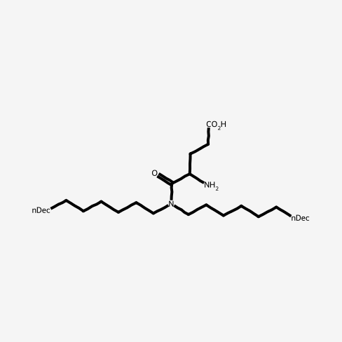 CCCCCCCCCCCCCCCCN(CCCCCCCCCCCCCCCC)C(=O)C(N)CCC(=O)O